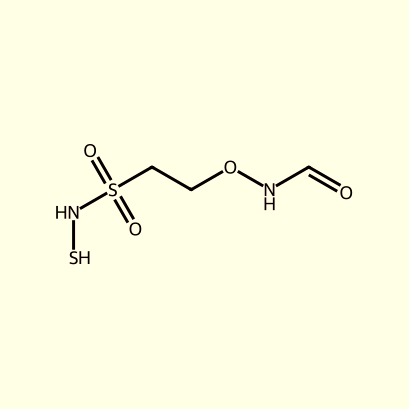 O=CNOCCS(=O)(=O)NS